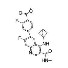 CNC(=O)c1cnc2cc(F)c(-c3ccc(C(=O)OC)c(F)c3)cc2c1NC12CC(C1)C2